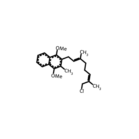 COc1c(C)c(C/C=C(\C)CCC=C(C)CCl)c(OC)c2ccccc12